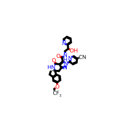 N#Cc1ccc(-n2nc3c(c2C(=O)NCC(O)c2ccccn2)C(=O)N[C@@]2(CCc4cc(OCC(F)(F)F)ccc42)C3)nc1